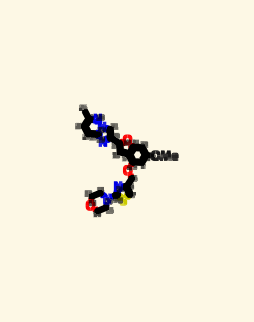 COc1cc(OCc2csc(N3CCOCC3)n2)c2cc(-c3cn4nc(C)ccc4n3)oc2c1